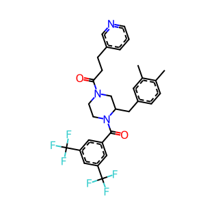 Cc1ccc(CC2CN(C(=O)CCc3cccnc3)CCN2C(=O)c2cc(C(F)(F)F)cc(C(F)(F)F)c2)cc1C